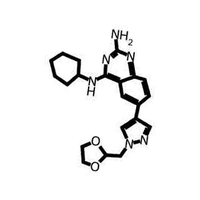 Nc1nc(NC2CCCCC2)c2cc(-c3cnn(CC4OCCO4)c3)ccc2n1